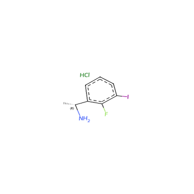 C[C@@H](N)c1cccc(I)c1F.Cl